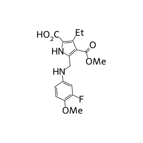 CCc1c(C(=O)O)[nH]c(CNc2ccc(OC)c(F)c2)c1C(=O)OC